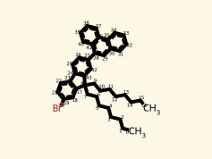 CCCCCCCCC1(CCCCCCCC)c2cc(Br)ccc2-c2ccc(-c3cc4ccccc4c4ccccc34)cc21